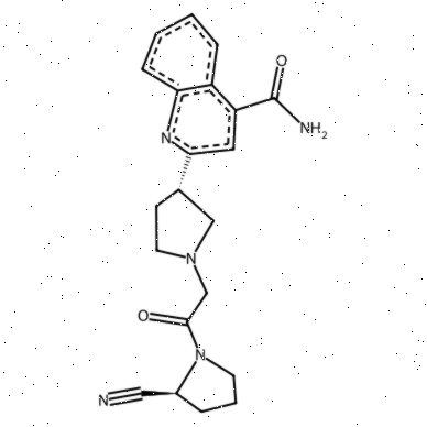 N#C[C@@H]1CCCN1C(=O)CN1CC[C@H](c2cc(C(N)=O)c3ccccc3n2)C1